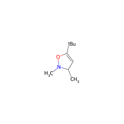 CC1C=C(C(C)(C)C)ON1C